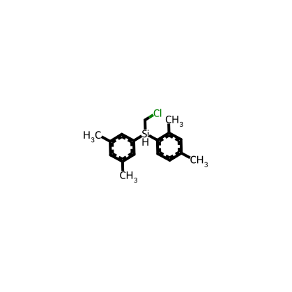 Cc1cc(C)cc([SiH](CCl)c2ccc(C)cc2C)c1